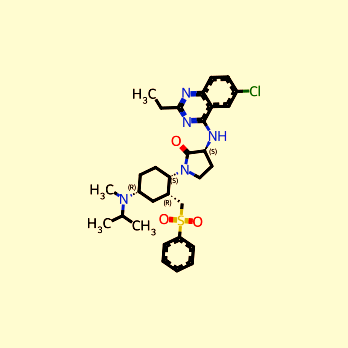 CCc1nc(N[C@H]2CCN([C@H]3CC[C@@H](N(C)C(C)C)C[C@H]3CS(=O)(=O)c3ccccc3)C2=O)c2cc(Cl)ccc2n1